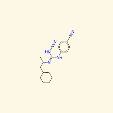 CC(CC1CCCCC1)/N=C(\NC#N)Nc1ccc(C#N)cc1